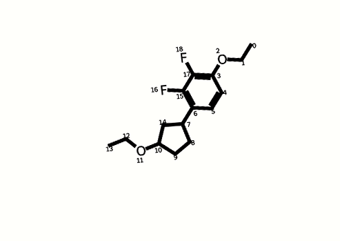 CCOc1ccc(C2CCC(OCC)C2)c(F)c1F